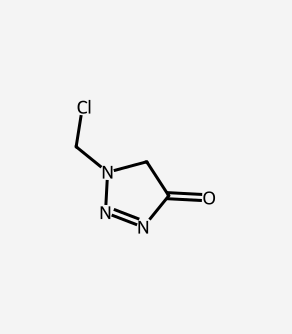 O=C1CN(CCl)N=N1